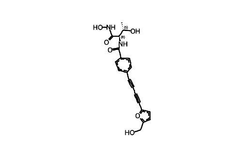 C[C@H](O)[C@@H](NC(=O)c1ccc(C#CC#Cc2ccc(CO)o2)cc1)C(=O)NO